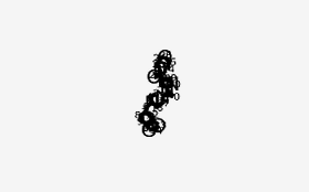 C=C(N1CCN(Cc2ccc3c(c2)OCO3)CC1)n1cc(C(=O)N2CCOCC2)cn1